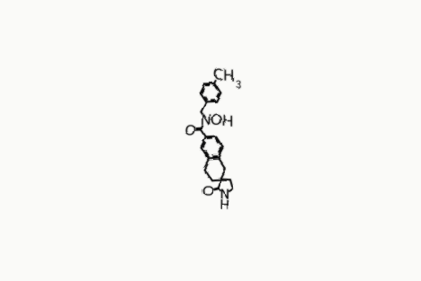 Cc1ccc(CN(O)C(=O)c2ccc3c(c2)CCC2(CCNC2=O)C3)cc1